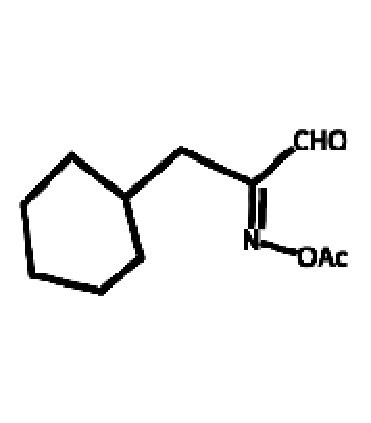 CC(=O)ON=C(C=O)CC1CCCCC1